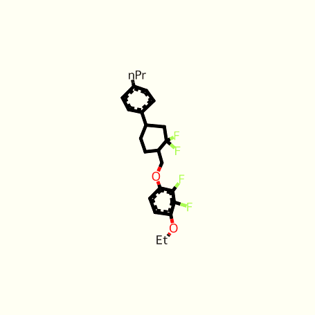 CCCc1ccc(C2CCC(COc3ccc(OCC)c(F)c3F)C(F)(F)C2)cc1